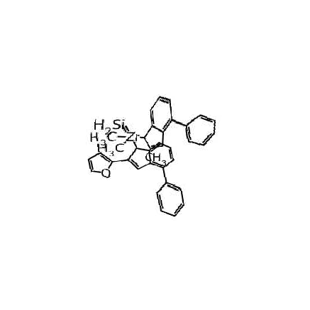 CC1=Cc2c(-c3ccccc3)cccc2[CH]1[Zr]([CH3])([CH3])(=[SiH2])[CH]1C(c2ccco2)=Cc2c(-c3ccccc3)cccc21